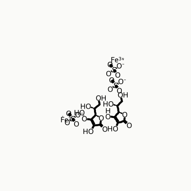 O=C1O[C@H]([C@@H](O)CO)C(O)=C1O.O=C1O[C@H]([C@@H](O)CO)C(OO)=C1O.O=S(=O)([O-])[O-].O=S(=O)([O-])[O-].O=S(=O)([O-])[O-].[Fe+3].[Fe+3]